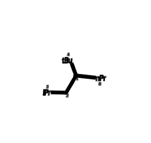 CCC[C](CC(C)C)C(C)(C)C